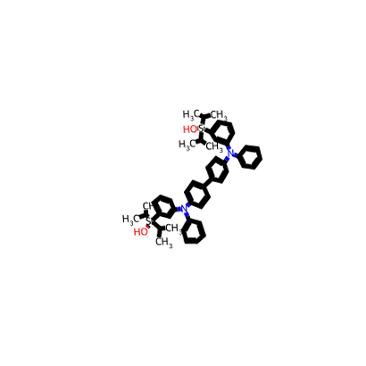 CC(C)[Si](O)(c1cccc(N(c2ccccc2)c2ccc(-c3ccc(N(c4ccccc4)c4cccc([Si](O)(C(C)C)C(C)C)c4)cc3)cc2)c1)C(C)C